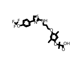 Cc1cc(OC(C)(C)C(=O)O)c(C)cc1OCCCNc1nc(-c2ccc(OC(F)(F)F)cc2)cs1